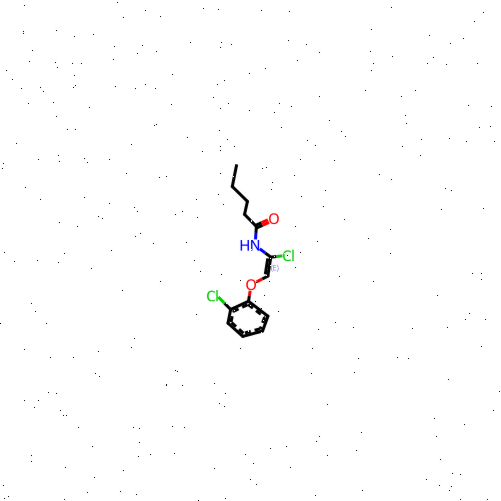 CCCCC(=O)N/C(Cl)=C\Oc1ccccc1Cl